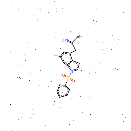 CCCC(=N)Cc1cc(F)cc2c1ccn2S(=O)(=O)c1ccccc1